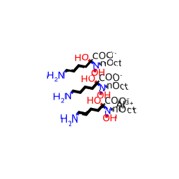 CCCCCCCCN(O)[C@@](O)(CCCCN)C(=O)[O-].CCCCCCCCN(O)[C@@](O)(CCCCN)C(=O)[O-].CCCCCCCCN(O)[C@@](O)(CCCCN)C(=O)[O-].[Al+3]